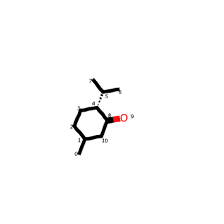 CC1CC[C@H](C(C)C)C(=O)C1